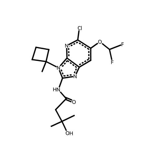 CC(C)(O)CC(=O)Nc1nc2cc(OC(F)F)c(Cl)nc2n1C1(C)CCC1